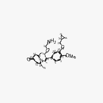 COc1ccc(/C(=C/n2c(C)cc(=O)cc2C)COCN)cc1OCC1CC1